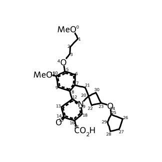 COCCCOc1cc2c(cc1OC)-c1cc(=O)c(C(=O)O)cn1C1(C2)CC(OC2CCCC2)C1